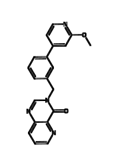 COc1cc(-c2cccc(Cn3cnc4cccnc4c3=O)c2)ccn1